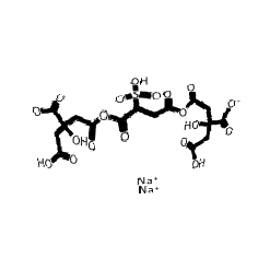 O=C(O)CC(O)(CC(=O)OC(=O)CC(C(=O)OC(=O)CC(O)(CC(=O)O)C(=O)[O-])S(=O)(=O)O)C(=O)[O-].[Na+].[Na+]